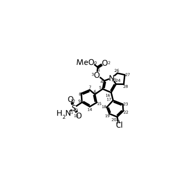 COC(=O)Oc1c(-c2ccc(S(N)(=O)=O)cc2)c(-c2ccc(Cl)cc2)c2n1CCC2